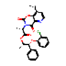 COc1ccnc2c(=O)n([C@@H](C)C(=O)O[C@@H](C)[C@H](Oc3ccccc3Cl)c3ccccc3)c(=O)oc12